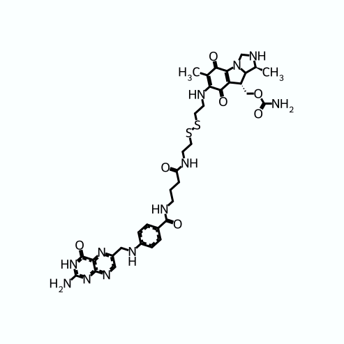 CC1=C(NCCSSCCNC(=O)CCCNC(=O)c2ccc(NCc3cnc4nc(N)[nH]c(=O)c4n3)cc2)C(=O)C2=C(C1=O)N1CN[C@@H](C)C1[C@@H]2COC(N)=O